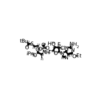 CCOc1nc(N)nc2c1ncn2[C@@H]1O[C@H](CO[P@](=O)(N[C@@H](C)C(=O)OC(C)C)OCCSC(=O)C(C)(C)C)[C@@H](O)[C@@]1(F)Cl